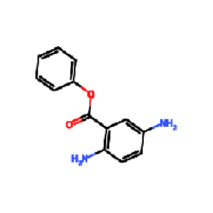 Nc1ccc(N)c(C(=O)Oc2ccccc2)c1